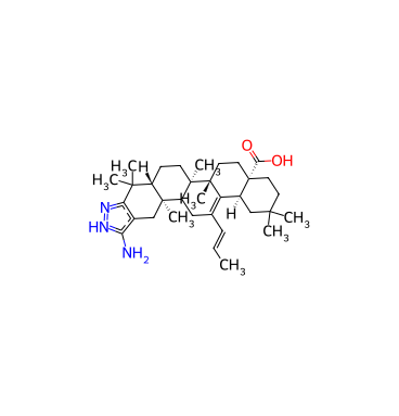 CC=CC1=C2[C@@H]3CC(C)(C)CC[C@]3(C(=O)O)CC[C@@]2(C)[C@]2(C)CC[C@H]3C(C)(C)c4n[nH]c(N)c4C[C@]3(C)C2C1